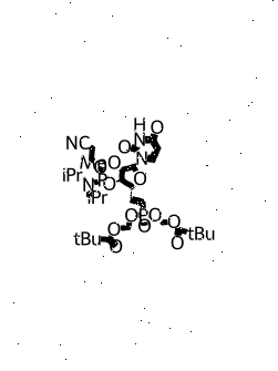 COC1[C@@H](OP(OCCC#N)N(C(C)C)C(C)C)[C@@H](/C=C/P(=O)(OCOC(=O)C(C)(C)C)OCOC(=O)C(C)(C)C)O[C@H]1n1ccc(=O)[nH]c1=O